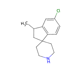 CC1CC2(CCNCC2)c2ccc(Cl)cc21